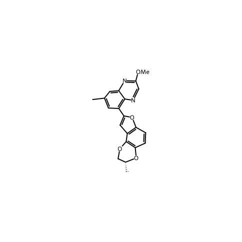 [CH2][C@@H]1COc2c(ccc3oc(-c4cc(C)cc5nc(OC)cnc45)cc23)O1